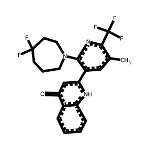 Cc1cc(-c2cc(=O)c3ccccc3[nH]2)c(N2CCCC(F)(F)CC2)nc1C(F)(F)F